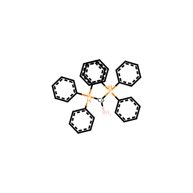 [BH2][Cu]([PH](c1ccccc1)(c1ccccc1)c1ccccc1)[PH](c1ccccc1)(c1ccccc1)c1ccccc1